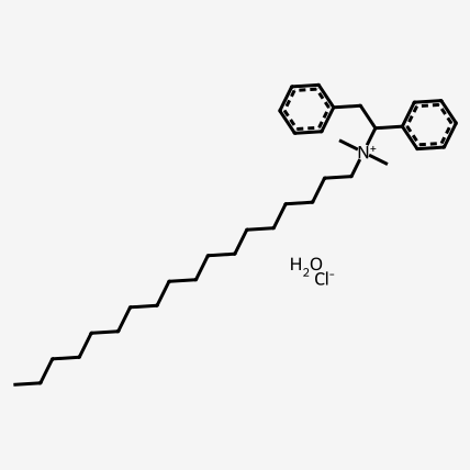 CCCCCCCCCCCCCCCCCC[N+](C)(C)C(Cc1ccccc1)c1ccccc1.O.[Cl-]